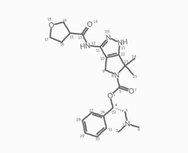 CN(C)C[C@@H](OC(=O)N1Cc2c(NC(=O)C3CCOC3)n[nH]c2C1(C)C)c1ccccc1